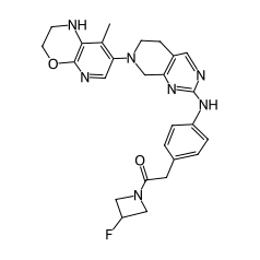 Cc1c(N2CCc3cnc(Nc4ccc(CC(=O)N5CC(F)C5)cc4)nc3C2)cnc2c1NCCO2